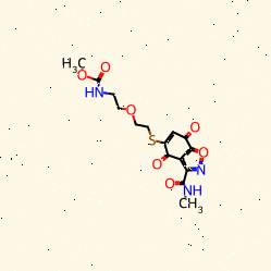 CNC(=O)c1noc2c1C(=O)C(SCCOCCNC(=O)OC)=CC2=O